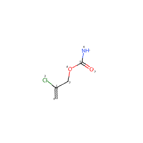 C=C(Cl)COC([NH])=O